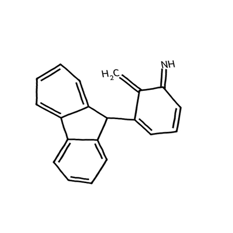 C=C1C(=N)C=CC=C1C1c2ccccc2-c2ccccc21